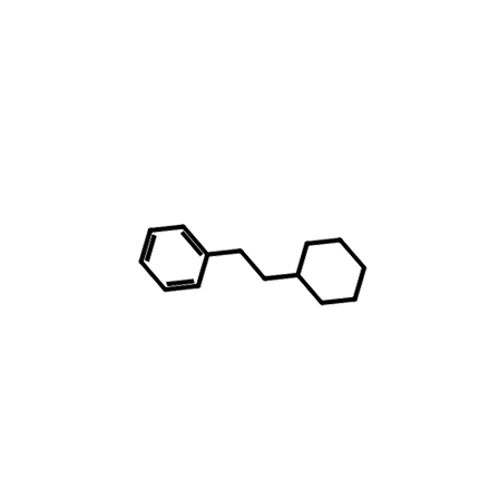 c1ccc(CCC2CCCCC2)cc1